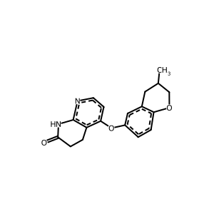 CC1COc2ccc(Oc3ccnc4c3CCC(=O)N4)cc2C1